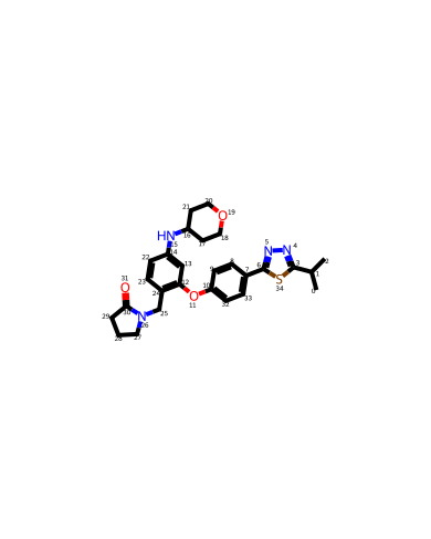 CC(C)c1nnc(-c2ccc(Oc3cc(NC4CCOCC4)ccc3CN3CCCC3=O)cc2)s1